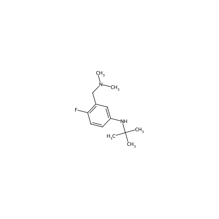 CN(C)Cc1cc(NC(C)(C)C)ccc1F